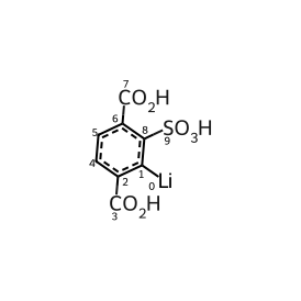 [Li][c]1c(C(=O)O)ccc(C(=O)O)c1S(=O)(=O)O